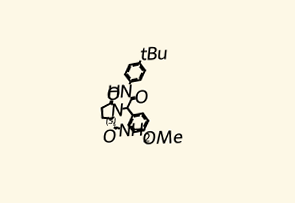 COc1ccc(C(C(=O)Nc2ccc(C(C)(C)C)cc2)N2C(=O)CC[C@H]2C(N)=O)cc1